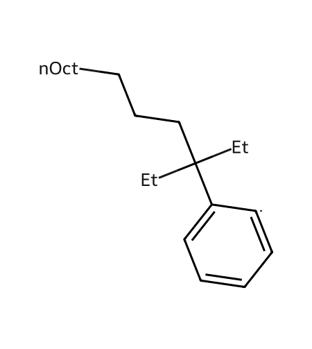 CCCCCCCCCCCC(CC)(CC)c1[c]cccc1